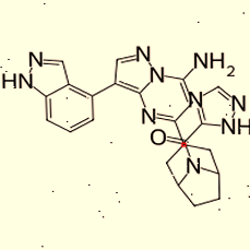 Nc1cc(C2CC3CCC(C2)N3C(=O)c2ncn[nH]2)nc2c(-c3cccc4[nH]ncc34)cnn12